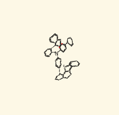 c1ccc(-c2ccc(N(c3ccc(-c4cccc5ccc6c7ccccc7sc6c45)cc3)c3ccccc3-c3cccc4ccccc34)cc2)cc1